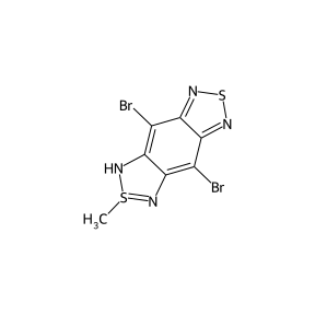 CS1=Nc2c(c(Br)c3nsnc3c2Br)N1